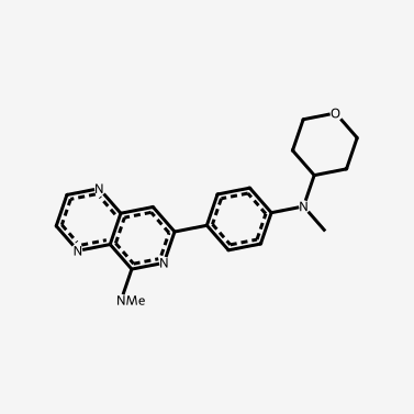 CNc1nc(-c2ccc(N(C)C3CCOCC3)cc2)cc2nccnc12